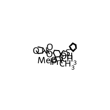 COC1C(OC(=O)N2CCOCC2)CCC(O)(CSc2ccccc2)C1C(C)(C)C(C)C